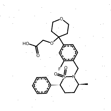 C[C@H]1CC[C@H](c2ccccc2)S(=O)(=O)N1Cc1ccc(C2(OCC(=O)O)CCOCC2)cc1F